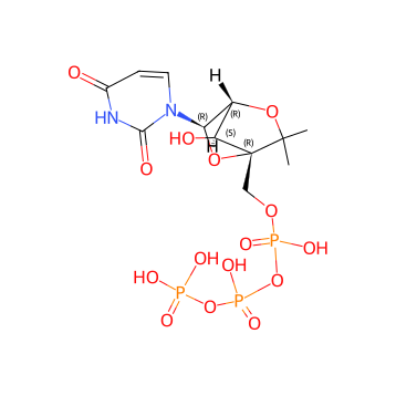 CC1(C)O[C@H]2[C@H](n3ccc(=O)[nH]c3=O)O[C@]1(COP(=O)(O)OP(=O)(O)OP(=O)(O)O)[C@H]2O